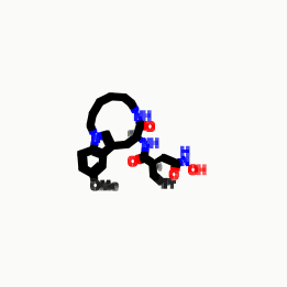 COc1ccc2c(c1)c1cn2CCCCCCNC(=O)[C@@H](NC(=O)[C@@H](CC(=O)NO)CC(C)C)C1